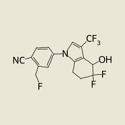 N#Cc1ccc(-n2cc(C(F)(F)F)c3c2CCC(F)(F)C3O)cc1CF